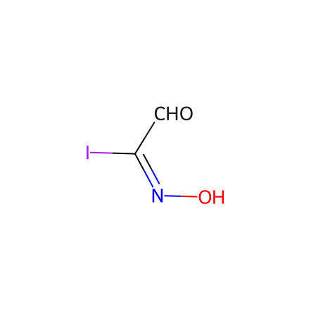 O=C/C(I)=N\O